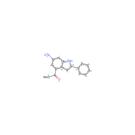 COC(=O)c1cc(N)cc2[nH]c(-c3ccccc3)cc12